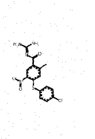 Cc1cc(Sc2ccc(Cl)cc2)c([N+](=O)[O-])cc1C(=O)N=C(N)N